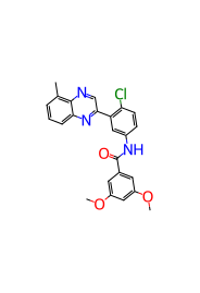 COc1cc(OC)cc(C(=O)Nc2ccc(Cl)c(-c3cnc4c(C)cccc4n3)c2)c1